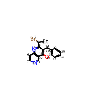 CCC(Br)C1=Nc2ccncc2C(=O)C1Cc1ccccc1